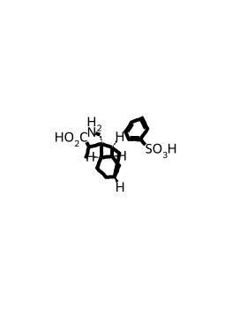 CC(C(=O)O)[C@]1(CN)[C@@H]2CC[C@H]3C[C@@H]2[C@@H]1C3.O=S(=O)(O)c1ccccc1